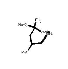 COC(C[SiH3])CC(C)(OC)OC